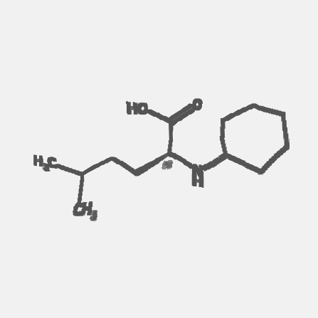 CC(C)CC[C@H](NC1CCCCC1)C(=O)O